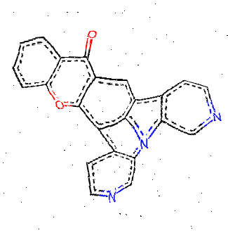 O=c1c2ccccc2oc2c1cc1c3ccncc3n3c4cnccc4c2c13